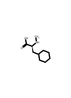 CN[C@@H](CC1CCCCC1)C(=O)O